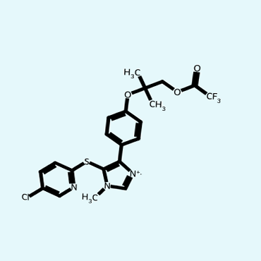 CN1C=[N+]C(c2ccc(OC(C)(C)COC(=O)C(F)(F)F)cc2)=C1Sc1ccc(Cl)cn1